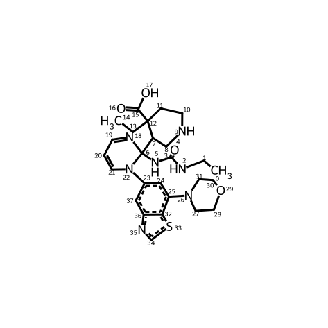 CCNC(=O)NC1(C2CNCCC2(CC)C(=O)O)N=CC=CN1c1cc(N2CCOCC2)c2scnc2c1